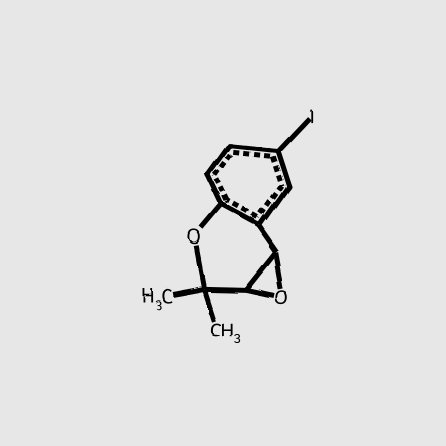 CC1(C)Oc2ccc(I)cc2C2OC21